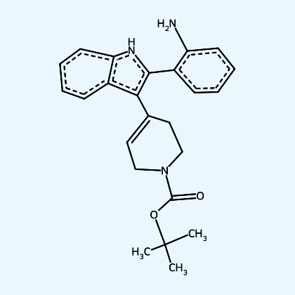 CC(C)(C)OC(=O)N1CC=C(c2c(-c3ccccc3N)[nH]c3ccccc23)CC1